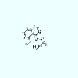 CCc1cccc(CC)c1C(=O)CCC(C)P